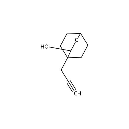 C#CCC12CCC(CC1)CC2O